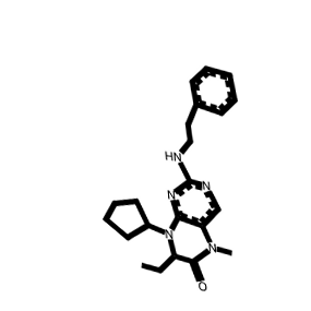 CCC1C(=O)N(C)c2cnc(NCCc3ccccc3)nc2N1C1CCCC1